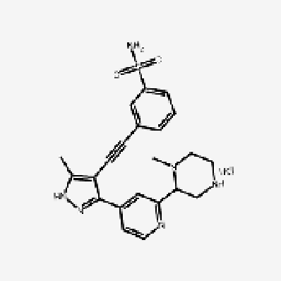 Cc1[nH]nc(-c2ccnc(C3CNCCN3C)c2)c1C#Cc1cccc(S(N)(=O)=O)c1.Cl